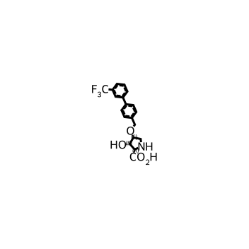 O=C(O)[C@@H]1NC[C@H](OCc2ccc(-c3cccc(C(F)(F)F)c3)cc2)[C@H]1O